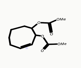 COC(=O)OC1/C=C\CCCCC1OC(=O)OC